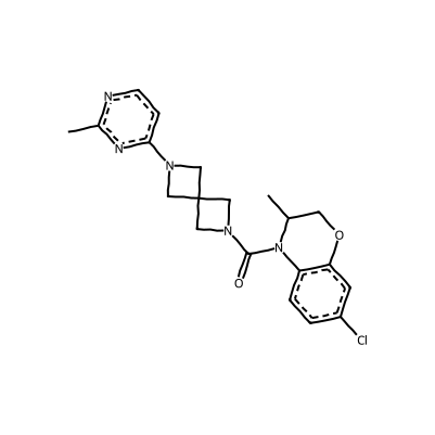 Cc1nccc(N2CC3(CN(C(=O)N4c5ccc(Cl)cc5OCC4C)C3)C2)n1